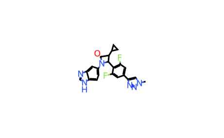 Cn1cc(-c2cc(F)c(C3C(C4CC4)C(=O)N3c3ccc4[nH]cnc4c3)c(F)c2)nn1